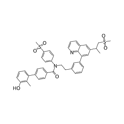 Cc1c(O)cccc1-c1ccc(C(=O)N(CCc2cccc(-c3cc(C(C)CS(C)(=O)=O)cc4cccnc34)c2)c2ccc(S(C)(=O)=O)cc2)cc1